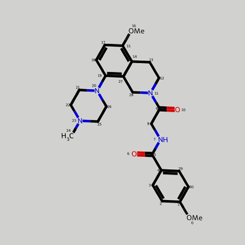 COc1ccc(C(=O)NCC(=O)N2CCc3c(OC)ccc(N4CCN(C)CC4)c3C2)cc1